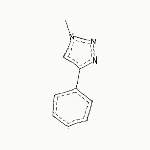 Cn1cc(-c2cc[c]cc2)nn1